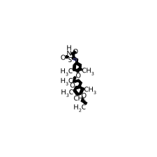 C=CCOc1c(C)c(C)c2c(c1C)CCC(C)(COc1c(C)cc(/C=C3\SC(=O)NC3=O)cc1C)O2